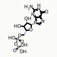 Nc1nc2c(ncn2[C@@H]2O[C@H](COP(=O)(O)OP(=O)(O)O)C(O)[C@@H]2O)c(=O)[nH]1